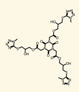 Cn1nnnc1SCC(O)COC(=O)Cn1c(=O)n(CC(=O)OCC(O)CSc2nnnn2C)c(=O)n(CC(=O)OCC(O)CSc2nnnn2C)c1=O